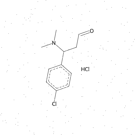 CN(C)C(CC=O)c1ccc(Cl)cc1.Cl